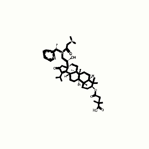 CC(C)C1=C2[C@H]3CC[C@@H]4[C@@]5(C)CC[C@H](OC(=O)CC(C)(C)C(=O)O)C(C)(C)[C@@H]5CC[C@@]4(C)[C@]3(C)CC[C@@]2([C@@H](O)CN(C(=O)CN(C)C)[C@@H](C)c2ccccn2)CC1=O